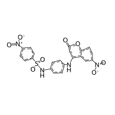 O=c1cc(Nc2ccc(NS(=O)(=O)c3ccc([N+](=O)[O-])cc3)cc2)c2cc([N+](=O)[O-])ccc2o1